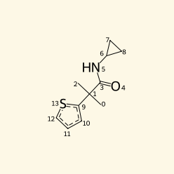 CC(C)(C(=O)NC1CC1)c1cccs1